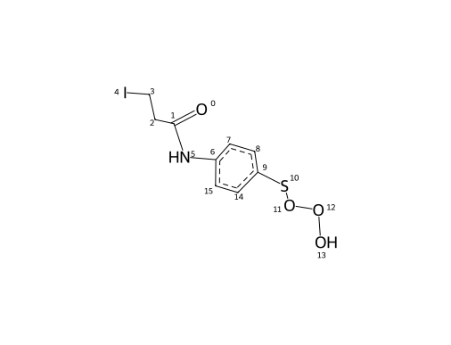 O=C(CCI)Nc1ccc(SOOO)cc1